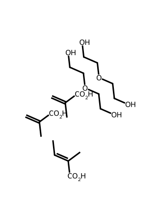 C=C(C)C(=O)O.C=C(C)C(=O)O.CC=C(C)C(=O)O.OCCOCCO.OCCOCCO